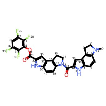 CN1CCc2c1ccc1[nH]c(C(=O)N3CCc4c3ccc3[nH]c(C(=O)Oc5c(F)c(F)cc(F)c5F)cc43)cc21